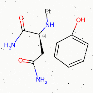 CCN[C@@H](CC(N)=O)C(N)=O.Oc1ccccc1